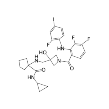 O=C(c1ccc(F)c(F)c1Nc1ccc(I)cc1F)N1CC(O)(CNC2(C(=O)NC3CC3)CCCC2)C1